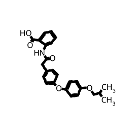 CC(C)COc1ccc(Oc2ccc(CC(=O)Nc3ccccc3C(=O)O)cc2)cc1